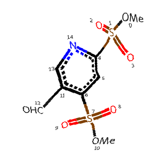 COS(=O)(=O)c1cc(S(=O)(=O)OC)c(C=O)cn1